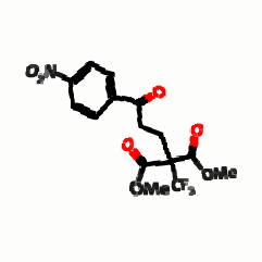 COC(=O)C(CCC(=O)c1ccc([N+](=O)[O-])cc1)(C(=O)OC)C(F)(F)F